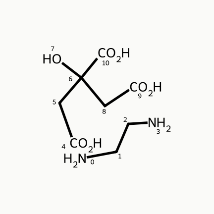 NCCN.O=C(O)CC(O)(CC(=O)O)C(=O)O